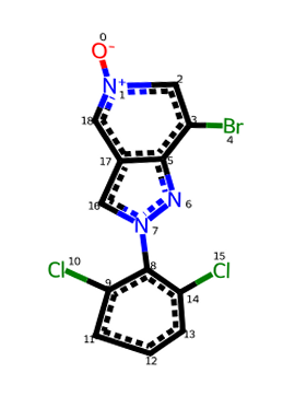 [O-][n+]1cc(Br)c2nn(-c3c(Cl)cccc3Cl)cc2c1